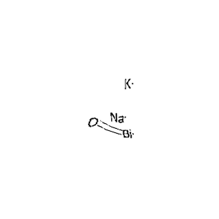 [K].[Na].[O]=[Bi]